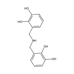 Oc1cccc(CNCc2cccc(O)c2O)c1O